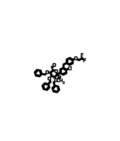 CO[C@@]1(c2ccc(Cl)c(Cc3ccc(OCC(F)F)cc3)c2)O[C@H](C=O)[C@@H](OCc2ccccc2)[C@H](OCc2ccccc2)[C@H]1OCc1ccccc1